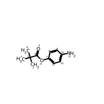 CC(C)(C)C(=O)Oc1ccc(N)cc1